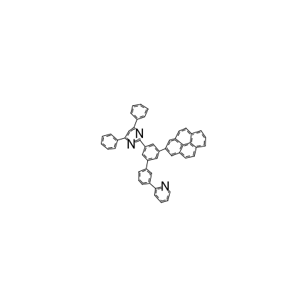 c1ccc(-c2cc(-c3ccccc3)nc(-c3cc(-c4cccc(-c5ccccn5)c4)cc(-c4cc5ccc6cccc7ccc(c4)c5c67)c3)n2)cc1